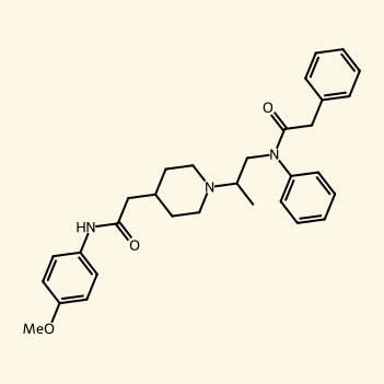 COc1ccc(NC(=O)CC2CCN(C(C)CN(C(=O)Cc3ccccc3)c3ccccc3)CC2)cc1